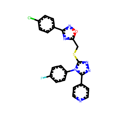 Fc1ccc(-n2c(SCc3nc(-c4ccc(Cl)cc4)no3)nnc2-c2ccncc2)cc1